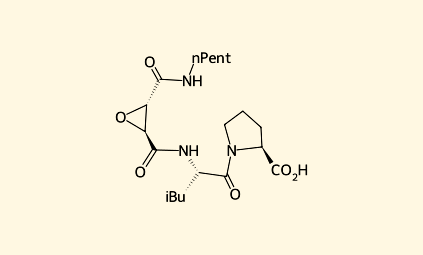 CCCCCNC(=O)[C@H]1O[C@@H]1C(=O)N[C@H](C(=O)N1CCC[C@H]1C(=O)O)[C@@H](C)CC